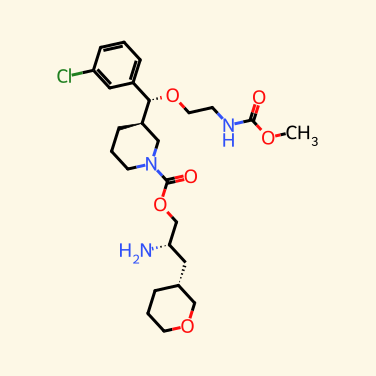 COC(=O)NCCO[C@@H](c1cccc(Cl)c1)[C@@H]1CCCN(C(=O)OC[C@@H](N)C[C@H]2CCCOC2)C1